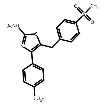 CCOC(=O)c1ccc(-c2nc(NC(C)=O)sc2Cc2ccc(S(C)(=O)=O)cc2)cc1